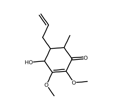 C=CCC1C(C)C(=O)C(OC)=C(OC)C1O